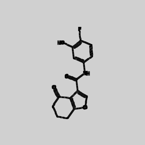 O=C(Nc1ccc(F)c(O)c1)c1coc2c1C(=O)CCC2